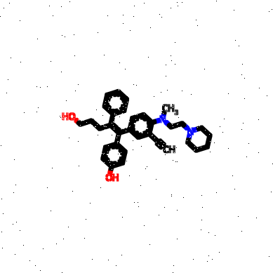 C#Cc1cc(/C(=C(/CCCO)c2ccccc2)c2ccc(O)cc2)ccc1N(C)CCN1CCCCC1